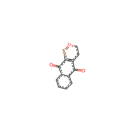 O=c1c2ccosc=2c(=O)c2ccccc12